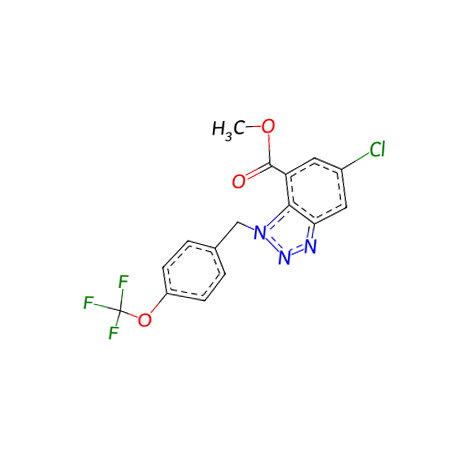 COC(=O)c1cc(Cl)cc2nnn(Cc3ccc(OC(F)(F)F)cc3)c12